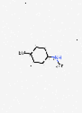 CCNC1CCC(CC)CC1